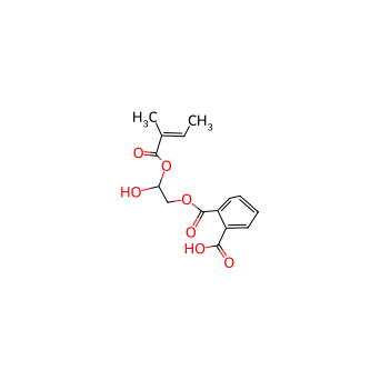 CC=C(C)C(=O)OC(O)COC(=O)c1ccccc1C(=O)O